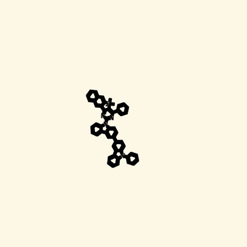 C[Si]1(C)c2cc3ccccc3cc2-c2nc(-n3c4ccccc4c4cc(-c5ccc6c(c5)c5ccccc5n6-c5ccccc5)ccc43)nc(-c3ccccc3)c21